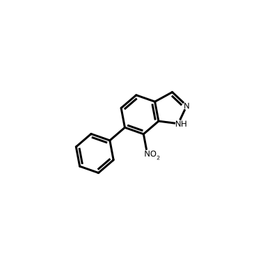 O=[N+]([O-])c1c(-c2ccccc2)ccc2cn[nH]c12